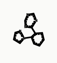 c1ccc(-n2cccn2)c(-c2ncncn2)c1